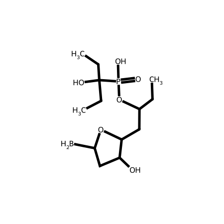 BC1CC(O)C(CC(CC)OP(=O)(O)C(O)(CC)CC)O1